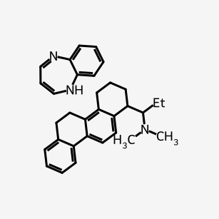 C1=CNc2ccccc2N=C1.CCC(C1CCCc2c1ccc1c2CCc2ccccc2-1)N(C)C